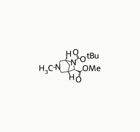 COC(=O)[C@H]1[C@H]2C[C@H](CN(C)C2)N1C(=O)OC(C)(C)C